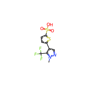 Cn1ncc(-c2ccc(S(=O)(=O)O)s2)c1C(F)(F)F